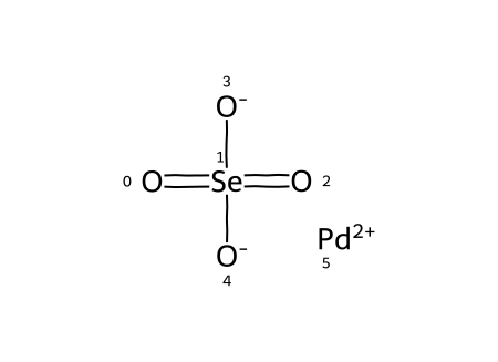 O=[Se](=O)([O-])[O-].[Pd+2]